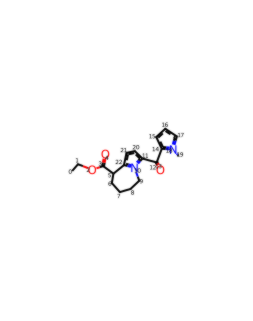 CCOC(=O)C1CCCCn2c(C(=O)c3cccn3C)ccc21